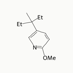 CCC(C)(CC)c1ccc(OC)nc1